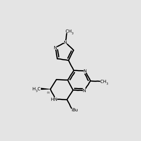 CCC(C)C1N[C@@H](C)Cc2c(-c3cnn(C)c3)nc(C)nc21